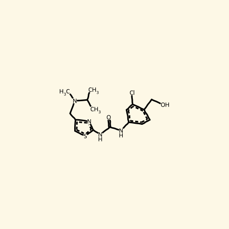 CC(C)N(C)Cc1csc(NC(=O)Nc2ccc(CO)c(Cl)c2)n1